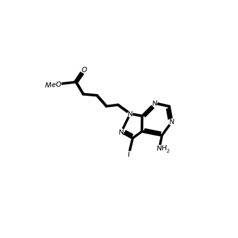 COC(=O)CCCCn1nc(I)c2c(N)ncnc21